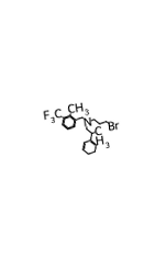 Cc1c(CN(CCCBr)CC(C)C2=CCCC=C2)cccc1C(F)(F)F